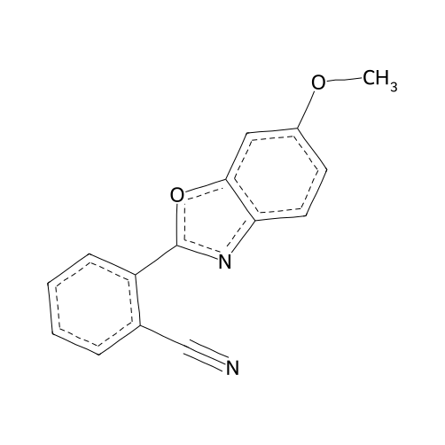 COc1ccc2nc(-c3ccccc3C#N)oc2c1